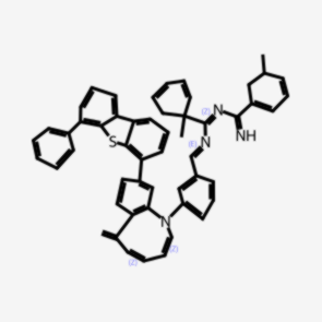 C=C1/C=C\C=C/N(c2cccc(/C=N/C(=N\C(=N)C3=CC=CC(C)C3)C3(C)C=CC=CC3)c2)c2cc(-c3cccc4c3sc3c(-c5ccccc5)cccc34)ccc21